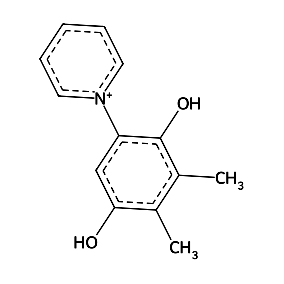 Cc1c(O)cc(-[n+]2ccccc2)c(O)c1C